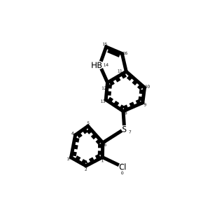 Clc1ccccc1Sc1ccc2c(c1)BC=C2